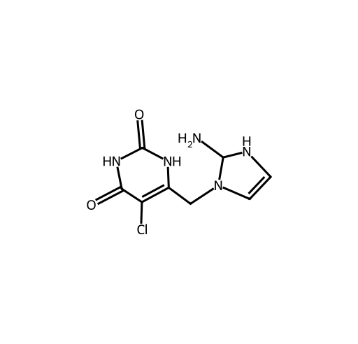 NC1NC=CN1Cc1[nH]c(=O)[nH]c(=O)c1Cl